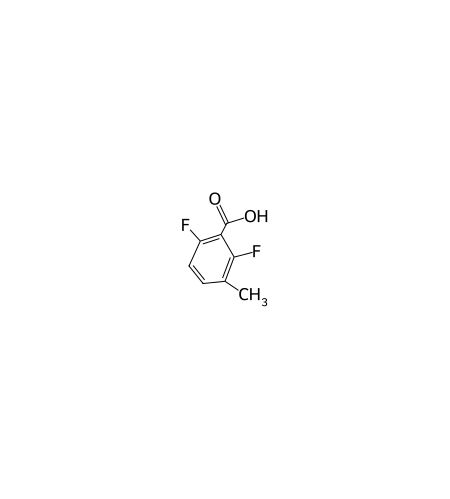 Cc1ccc(F)c(C(=O)O)c1F